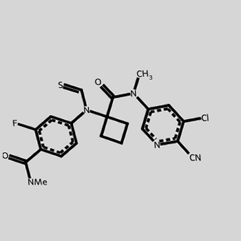 CNC(=O)c1ccc(N(C=S)C2(C(=O)N(C)c3cnc(C#N)c(Cl)c3)CCC2)cc1F